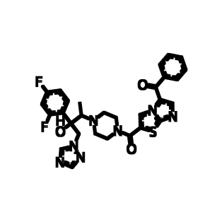 CC(N1CCN(C(=O)c2cn3c(C(=O)c4ccccc4)cnc3s2)CC1)C(O)(Cn1cncn1)c1ccc(F)cc1F